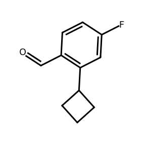 O=Cc1ccc(F)cc1C1CCC1